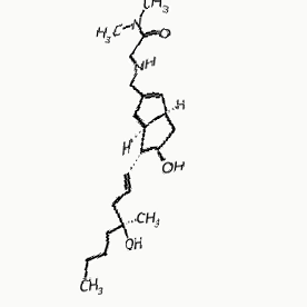 CCCC[C@](C)(O)C/C=C/[C@@H]1[C@H]2CC(CNCC(=O)N(C)C)=C[C@H]2C[C@H]1O